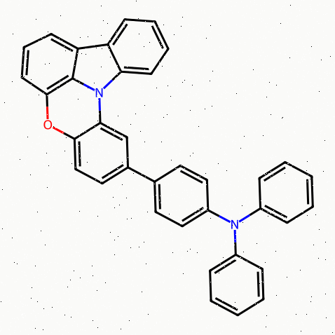 c1ccc(N(c2ccccc2)c2ccc(-c3ccc4c(c3)-n3c5ccccc5c5cccc(c53)O4)cc2)cc1